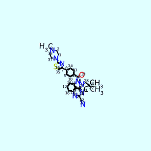 CN1CCN(c2nc(-c3ccc(C(=O)N4c5cccc6nc(C#N)nc(c56)N4CC(C)(C)C)cc3)cs2)CC1